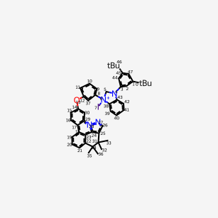 CC(C)(C)c1cc(N2C[N+](I)(c3cccc(Oc4ccc5c6cccc7c6c6c(cnn6c5c4)C(C)(C)C7(C)C)c3)c3ccccc32)cc(C(C)(C)C)c1